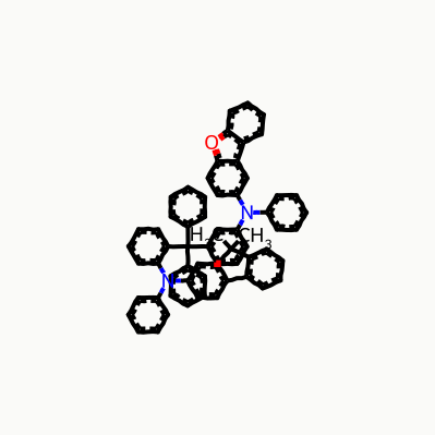 CC1(C)c2ccccc2-c2ccc(N(c3ccccc3)c3ccccc3C(c3ccccc3)(c3ccccc3)c3cccc(N(c4ccccc4)c4ccc5oc6ccccc6c5c4)c3)cc21